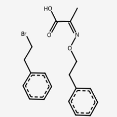 BrCCc1ccccc1.C/C(=N/OCCc1ccccc1)C(=O)O